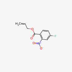 C=CCOC(=O)c1ccc(F)cc1[N+](=O)[O-]